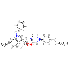 O=C(O)CCc1ccc(N2CCN(CC(O)(c3cn(Cc4ccccc4)c4cc([N+](=O)[O-])ccc34)C(F)(F)F)CC2)cc1